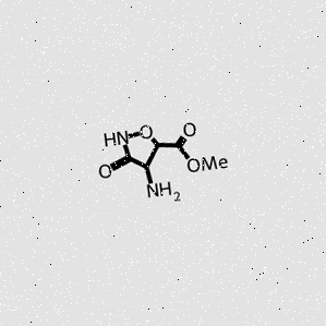 COC(=O)C1ONC(=O)C1N